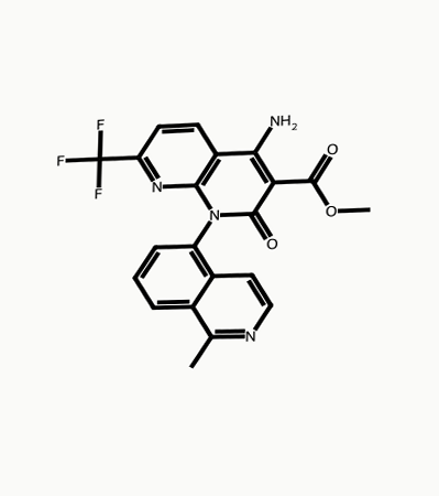 COC(=O)c1c(N)c2ccc(C(F)(F)F)nc2n(-c2cccc3c(C)nccc23)c1=O